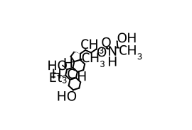 CC[C@@H]1C2C[C@H](O)CCC2(C)[C@H]2CCC3(C)[C@@H]([C@H](C)CCOC(=O)NC(C)CO)CC[C@H]3C2[C@@H]1O